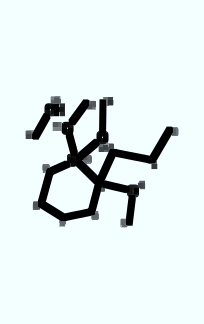 CCCC1(OC)CCCC[Si]1(OC)OC.CO